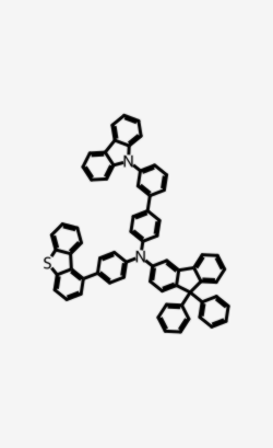 c1ccc(C2(c3ccccc3)c3ccccc3-c3cc(N(c4ccc(-c5cccc(-n6c7ccccc7c7ccccc76)c5)cc4)c4ccc(-c5cccc6sc7ccccc7c56)cc4)ccc32)cc1